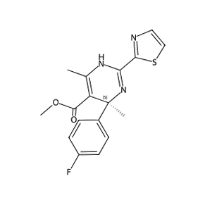 COC(=O)C1=C(C)NC(c2nccs2)=N[C@@]1(C)c1ccc(F)cc1